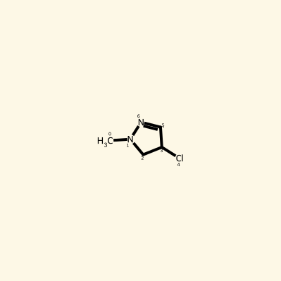 CN1[CH]C(Cl)[C]=N1